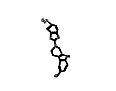 O=[N+]([O-])c1ccc2nc(N3CCc4c([nH]c5ccc(Cl)cc45)C3)sc2c1